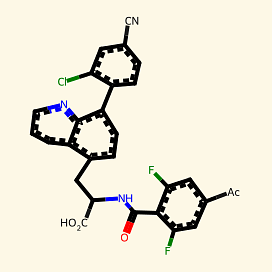 CC(=O)c1cc(F)c(C(=O)NC(Cc2ccc(-c3ccc(C#N)cc3Cl)c3ncccc23)C(=O)O)c(F)c1